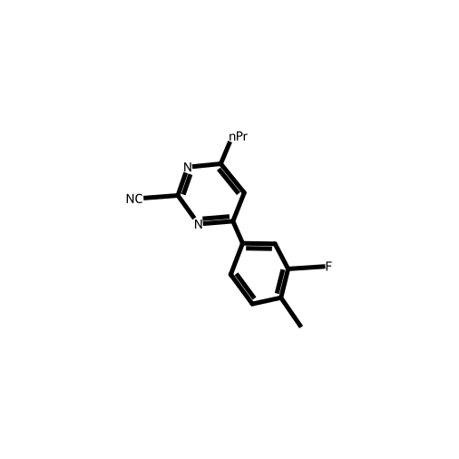 CCCc1cc(-c2ccc(C)c(F)c2)nc(C#N)n1